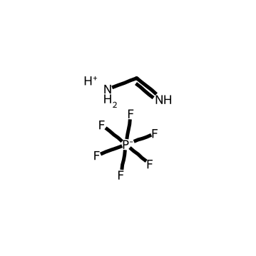 F[P-](F)(F)(F)(F)F.N=CN.[H+]